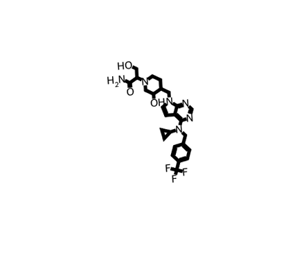 NC(=O)C(CO)N1CCC(Cn2ccc3c(N(Cc4ccc(C(F)(F)F)cc4)C4CC4)ncnc32)C(O)C1